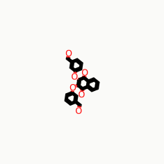 O=Cc1cccc(OC2=C(Oc3cccc(C=O)c3)C(=O)c3ccccc3C2=O)c1